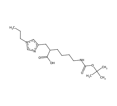 CCCn1cnc(CC(CCCCNC(=O)OC(C)(C)C)C(=O)O)c1